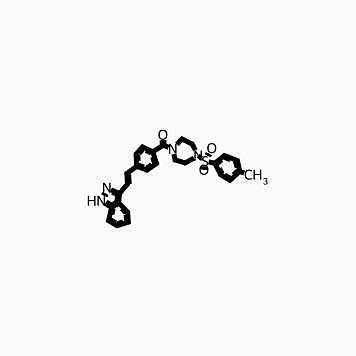 Cc1ccc(S(=O)(=O)N2CCN(C(=O)c3ccc(C=Cc4n[nH]c5ccccc45)cc3)CC2)cc1